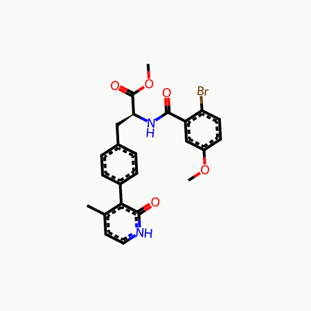 COC(=O)[C@H](Cc1ccc(-c2c(C)cc[nH]c2=O)cc1)NC(=O)c1cc(OC)ccc1Br